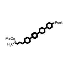 CCCCCC1CCC(C2CCC(c3ccc(C4CCC(CCCN(C)SOC)CC4)cc3)CC2)CC1